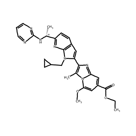 CCOC(=O)c1cc(OC)n2c(C)c(-c3cc4ccc([C@@H](C)Nc5ncccn5)nc4n3CC3CC3)nc2c1